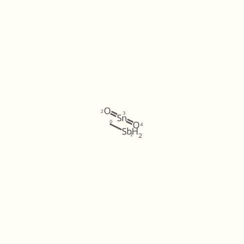 [CH3][SbH2].[O]=[Sn]=[O]